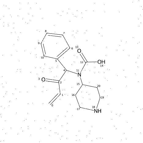 C=CC(=O)C(c1ccccc1)N(C(=O)O)C1CCNCC1